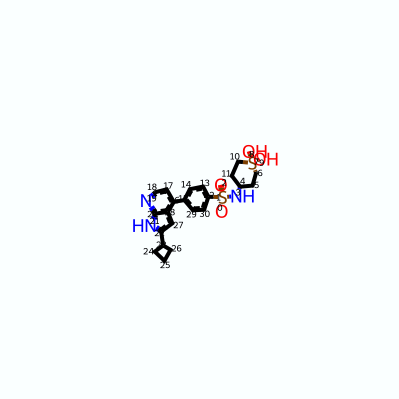 O=S(=O)(NC1CCS(O)(O)CC1)c1ccc(-c2ccnc3[nH]c(C4CCC4)cc23)cc1